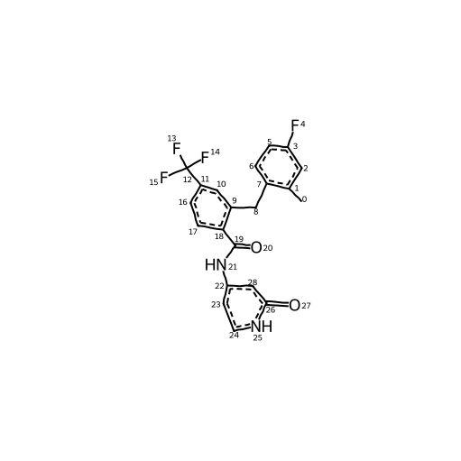 Cc1cc(F)ccc1Cc1cc(C(F)(F)F)ccc1C(=O)Nc1cc[nH]c(=O)c1